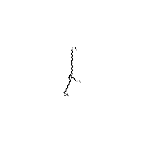 CCCCCCCCCCCCCCCN1C=CN(CCCCCCCCC)C1CCC